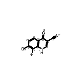 N#Cc1c[nH]c2c(F)c(Cl)ccc2c1=O